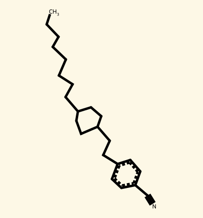 CCCCCCCCC1CCC(CCc2ccc(C#N)cc2)CC1